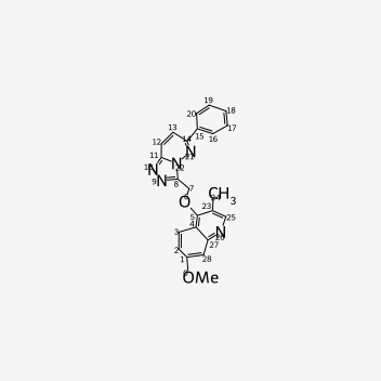 COc1ccc2c(OCc3nnc4ccc(-c5ccccc5)nn34)c(C)cnc2c1